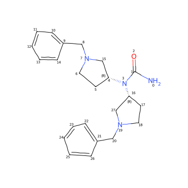 NC(=O)N([C@@H]1CCN(Cc2ccccc2)C1)[C@@H]1CCN(Cc2ccccc2)C1